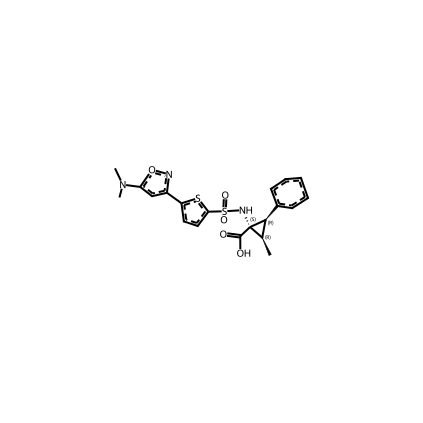 C[C@@H]1[C@H](c2ccccc2)[C@]1(NS(=O)(=O)c1ccc(-c2cc(N(C)C)on2)s1)C(=O)O